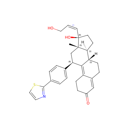 C[C@]12C[C@H](c3ccc(-c4nccs4)cc3)C3=C4CCC(=O)C=C4CC[C@H]3[C@@H]1CC[C@@]2(O)/C=C\CO